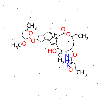 CC[C@H]1CCC[C@H](NC(=O)c2cc(C)on2)[C@@H](C)C(O)C2=CC3=C4C[C@H](OC5OC(C)CCC5OC)CC4C=CC3[C@@H]2CC(=O)O1